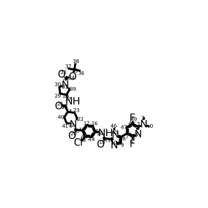 CN(C)c1nc(F)c(-c2cnc(C(=O)Nc3ccc(C(=O)N4CCC(C(=O)NC5CCN(C(=O)OC(C)(C)C)C5)CC4)c(Cl)c3)n2C)cc1F